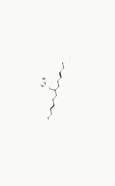 CCCC=CCCC(CCC=CCCC)COS(C)(=O)=O